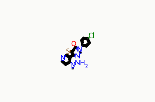 CN(N)c1ccnc2sc3c(=O)n(-c4ccc(Cl)cc4)cnc3c12